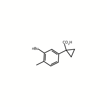 CCCCc1cc(C2(C(=O)O)CC2)ccc1C